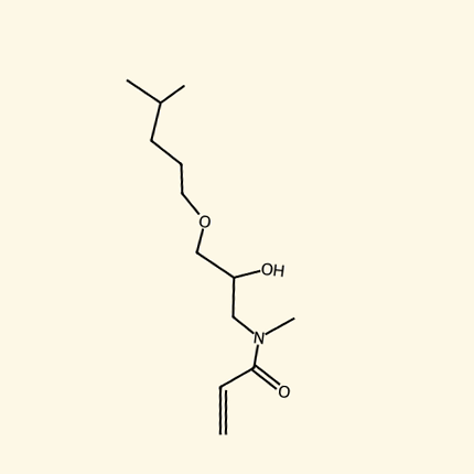 C=CC(=O)N(C)CC(O)COCCCC(C)C